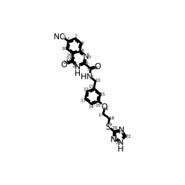 N#Cc1ccc2nc(C(=O)NCc3cccc(OCCSc4nc[nH]n4)c3)[nH]c(=O)c2c1